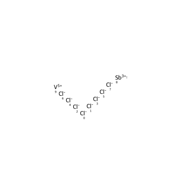 [Cl-].[Cl-].[Cl-].[Cl-].[Cl-].[Cl-].[Cl-].[Cl-].[Sb+3].[V+5]